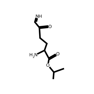 CC(C)OC(=O)C(N)CCC(=O)C=N